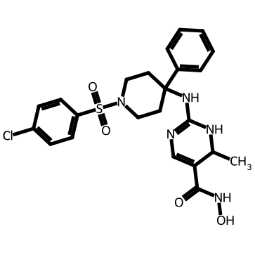 CC1NC(NC2(c3ccccc3)CCN(S(=O)(=O)c3ccc(Cl)cc3)CC2)=NC=C1C(=O)NO